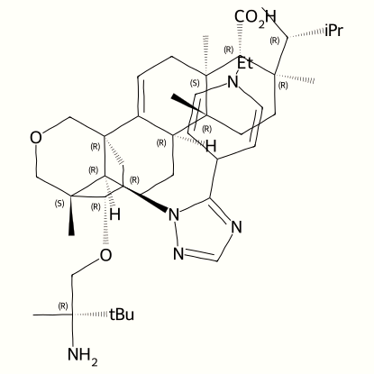 CCN1C=CC(c2ncnn2[C@@H]2C[C@@]34COC[C@](C)([C@@H]3CC[C@H]3C4=CC[C@@]4(C)[C@H](C(=O)O)[C@@](C)([C@H](C)C(C)C)CC[C@]34C)[C@H]2OC[C@](C)(N)C(C)(C)C)C=C1